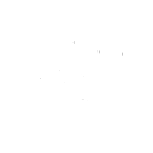 CC1=NC(N)C(=O)N(CC(=O)C23CC4CC(CC(C4)C2)C3)c2c(C)cccc21